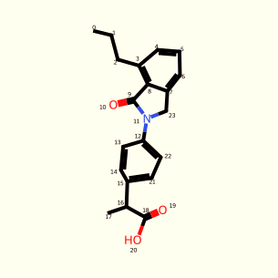 CCCc1cccc2c1C(=O)N(c1ccc(C(C)C(=O)O)cc1)C2